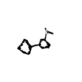 CN(C)c1cccc(-c2ccccc2)c1